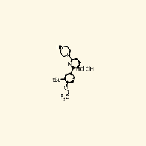 CC(C)(C)c1cc(-c2cccc(N3CCNCC3)n2)ccc1OCC(F)(F)F.Cl.Cl